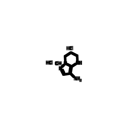 Cl.Cl.Cl.Nc1cnn2c1NCCC2